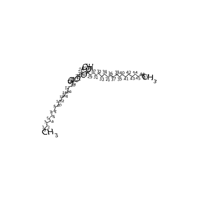 CCCCCCCCCCCCCCCCCCCC(=O)OC[C@H](CO)OC(=O)CCCCCCCCCCCCCCCCCCC